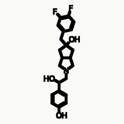 Oc1ccc(C(O)CN2CC3CC(O)(Cc4ccc(F)c(F)c4)CC3C2)cc1